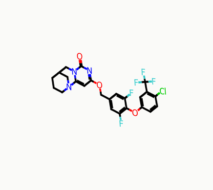 O=c1nc(OCc2cc(F)c(Oc3ccc(Cl)c(C(F)(F)F)c3)c(F)c2)cc2n1CC1CCCN2C1